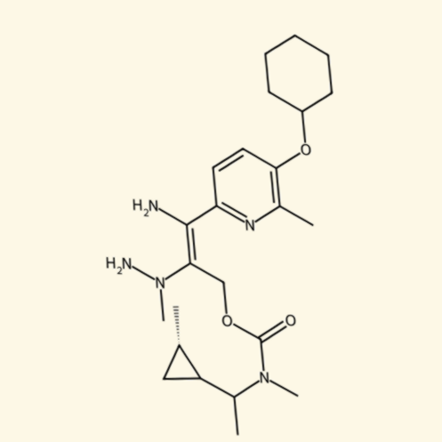 Cc1nc(/C(N)=C(\COC(=O)N(C)C(C)C2C[C@@H]2C)N(C)N)ccc1OC1CCCCC1